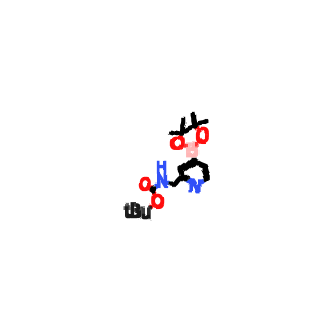 CC(C)(C)OC(=O)NCc1cc(B2OC(C)(C)C(C)(C)O2)ccn1